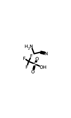 N#CCN.O=S(=O)(O)C(F)(F)F